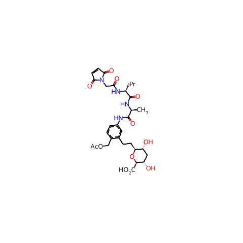 CC(=O)OCc1ccc(NC(=O)[C@H](C)NC(=O)[C@@H](NC(=O)CN2C(=O)C=CC2=O)C(C)C)cc1CC[C@@H]1O[C@H](C(=O)O)[C@@H](O)C[C@H]1O